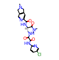 CN1Cc2cnc(C(=O)N[C@@H](CNC(=O)C(=O)Nc3ccc(Cl)cn3)C(=O)N(C)C)cc2C1